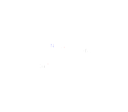 CC(C)(C)Oc1ccnc(Oc2cccc(C(C)(C)C)c2)c1